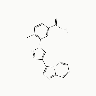 Cc1ccc(C(N)=O)cc1-n1cc(-c2cnc3cccnn23)nn1